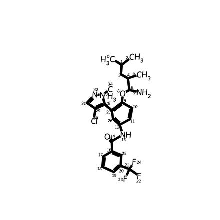 CC(C)CC(C)C(N)Oc1ccc(NC(=O)c2cccc(C(F)(F)F)c2)cc1-c1c(Cl)cnn1C